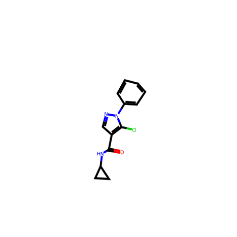 O=C(NC1CC1)c1cnn(-c2ccccc2)c1Cl